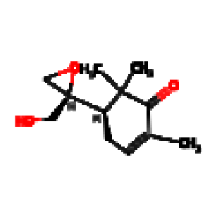 CC1=CC[C@@H]([C@]2(CO)CO2)C(C)(C)C1=O